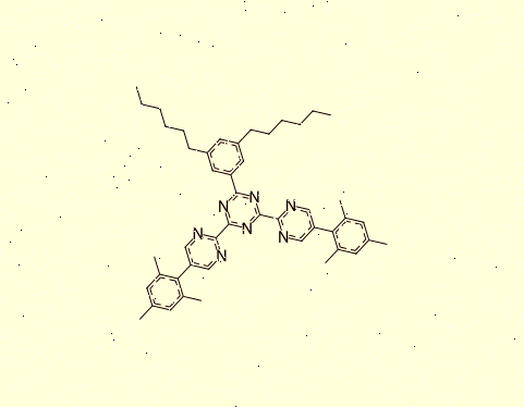 CCCCCCc1cc(CCCCCC)cc(-c2nc(-c3ncc(-c4c(C)cc(C)cc4C)cn3)nc(-c3ncc(-c4c(C)cc(C)cc4C)cn3)n2)c1